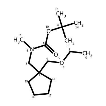 CCOCC1(CN(C)C(=O)OC(C)(C)C)CCCC1